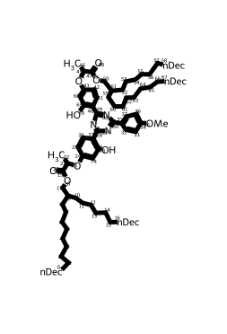 CCCCCCCCCCCCCCCCCCC(CCCCCCCCCCCCCCCC)COC(=O)C(C)Oc1ccc(-c2nc(-c3ccc(OC)cc3)nc(-c3ccc(OC(C)C(=O)OCC(CCCCCCCCCCCCCCCC)CCCCCCCCCCCCCCCCCC)cc3O)n2)c(O)c1